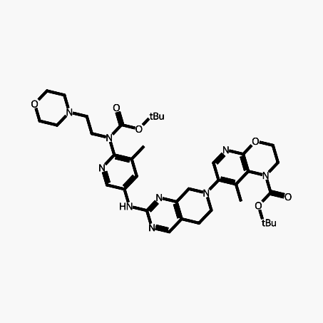 Cc1cc(Nc2ncc3c(n2)CN(c2cnc4c(c2C)N(C(=O)OC(C)(C)C)CCO4)CC3)cnc1N(CCN1CCOCC1)C(=O)OC(C)(C)C